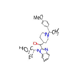 CCC(C(=O)O)n1c(C(=O)C2CCN(C(C)c3ccc(OC)cc3)CC2)nc2ccccc21